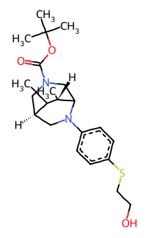 CC1[C@@H]2CN(C(=O)OC(C)(C)C)CC([C@H]1C)N(c1ccc(SCCO)cc1)C2